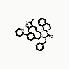 Cc1noc(C)c1C=CC(=O)N(Cc1ccc(-c2ccccn2)cc1)[C@@H](Cc1ccccc1)C(=O)N1CCc2ccccc2C1